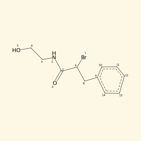 O=C(NCCO)C(Br)Cc1ccccc1